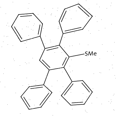 CSc1c(-c2ccccc2)c(-c2ccccc2)cc(-c2ccccc2)c1-c1ccccc1